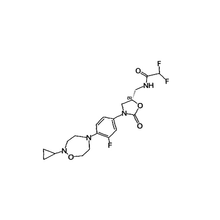 O=C(NC[C@H]1CN(c2ccc(N3CCON(C4CC4)CC3)c(F)c2)C(=O)O1)C(F)F